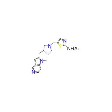 CC(=O)Nc1ncc(CN2CCC(Cc3cc4cnccc4n3C)C2)s1